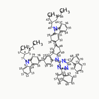 CCCCC(CC)Cn1c2ccccc2c2cc(-c3ccc4c(c3)c3cc(-c5ccc6c(c5)c5ccccc5n6CC(CC)CCCC)ccc3n4-c3nc(-c4cccc5ccccc45)nc(-c4cccc5ccccc45)n3)ccc21